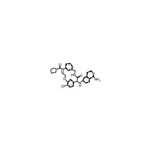 CCOc1cc(C(Nc2ccc3c(N)nccc3c2)C(=O)NCc2cccc(NC(=O)N3CCCC3)c2)ccc1Cl